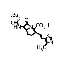 Cc1ncsc1C=CC1=C(C(=O)O)N2C(=O)C(NC(=O)OC(C)(C)C)C2CC1